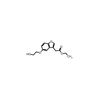 CCOC(=O)Cc1coc2ccc(OCCO)cc12